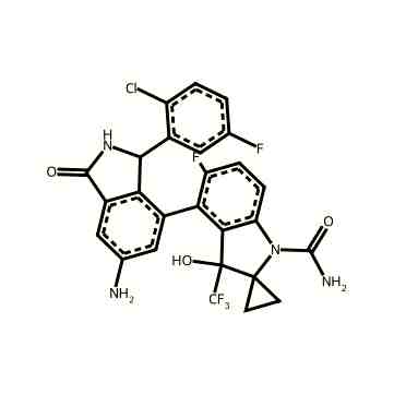 NC(=O)N1c2ccc(F)c(-c3cc(N)cc4c3C(c3cc(F)ccc3Cl)NC4=O)c2C(O)(C(F)(F)F)C12CC2